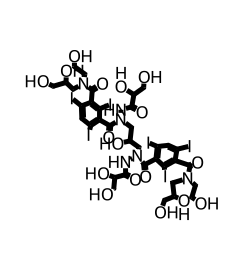 O=C(NN(CC(O)CN(NC(=O)C(O)CO)C(=O)c1c(I)cc(I)c(C(=O)N(CCO)CC(O)CO)c1I)C(=O)c1c(I)cc(I)c(C(=O)N(CCO)CC(O)CO)c1I)C(O)CO